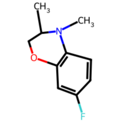 CC1COc2cc(F)ccc2N1C